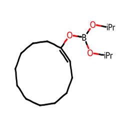 CC(C)OB(OC1=CCCCCCCCCCC1)OC(C)C